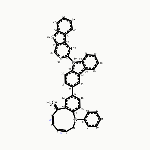 C=C1/C=C\C=C/CN(c2ccccc2)c2ccc(-c3ccc4c(c3)c3ccccc3n4-c3ncc4sc5ccccc5c4n3)cc21